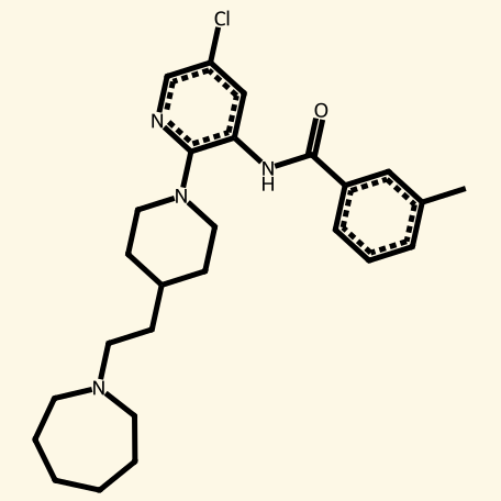 Cc1cccc(C(=O)Nc2cc(Cl)cnc2N2CCC(CCN3CCCCCC3)CC2)c1